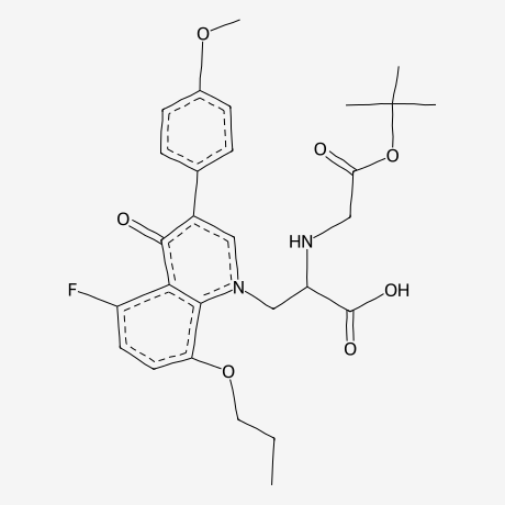 CCCOc1ccc(F)c2c(=O)c(-c3ccc(OC)cc3)cn(CC(NCC(=O)OC(C)(C)C)C(=O)O)c12